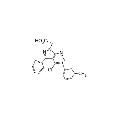 CC1C=CC=C(c2nnc3c(c(-c4ccccc4)nn3CC(=O)O)c2Cl)C1